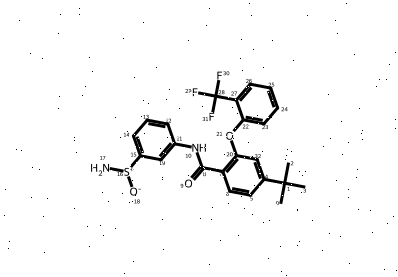 CC(C)(C)c1ccc(C(=O)Nc2cccc([S+](N)[O-])c2)c(Oc2ccccc2C(F)(F)F)c1